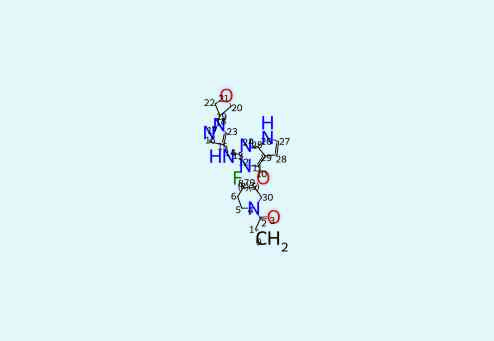 C=CC(=O)N1CC[C@@H](F)[C@@H](Oc2nc(Nc3cnn(C4COC4)c3)nc3[nH]ccc23)C1